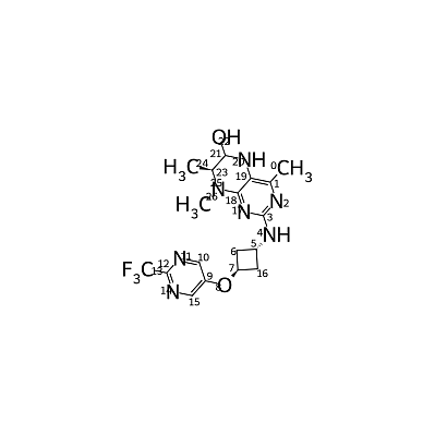 Cc1nc(N[C@H]2C[C@H](Oc3cnc(C(F)(F)F)nc3)C2)nc2c1NC(O)[C@H](C)N2C